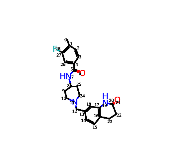 Cc1ccc(C(=O)NC2CCN(Cc3ccc4c(c3)NC(=O)CC4)CC2)cc1F